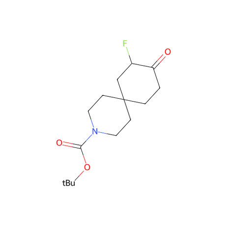 CC(C)(C)OC(=O)N1CCC2(CCC(=O)C(F)C2)CC1